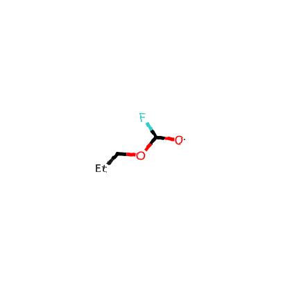 CCCOC([O])F